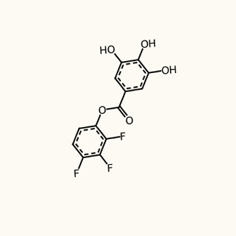 O=C(Oc1ccc(F)c(F)c1F)c1cc(O)c(O)c(O)c1